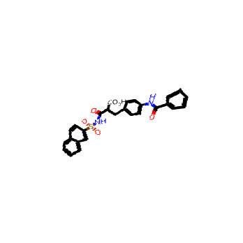 O=C(Nc1ccc(CC(C(=O)O)C(=O)NS(=O)(=O)c2ccc3ccccc3c2)cc1)c1ccccc1